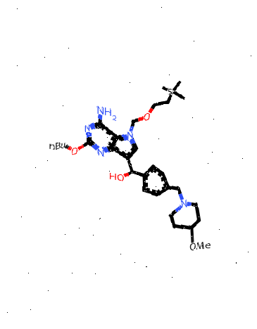 CCCCOc1nc(N)c2c(n1)c(C(O)c1ccc(CN3CCC(OC)CC3)cc1)cn2COCC[Si](C)(C)C